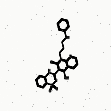 O=c1c(C2=NS(=O)(=O)c3ccccc3N2)c(O)c2cccnc2n1CCCNc1ccccc1